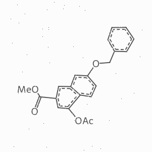 COC(=O)c1cc(OC(C)=O)c2ccc(OCc3ccccc3)cc2c1